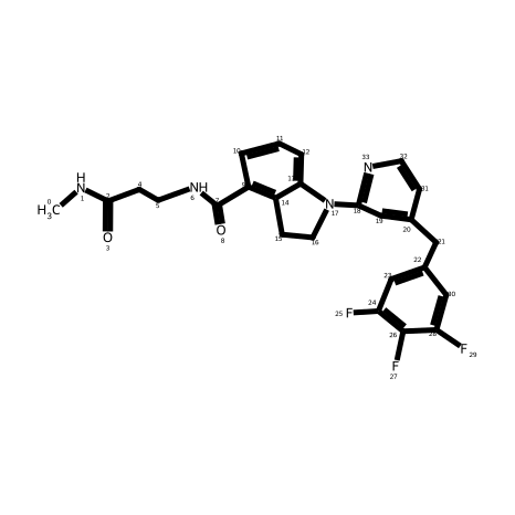 CNC(=O)CCNC(=O)c1cccc2c1CCN2c1cc(Cc2cc(F)c(F)c(F)c2)ccn1